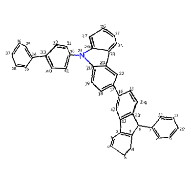 C1=CC2=C(CC1)C(c1ccccc1)c1ccc(-c3ccc4c(c3)c3ccccc3n4-c3ccc(-c4ccccc4)cc3)cc12